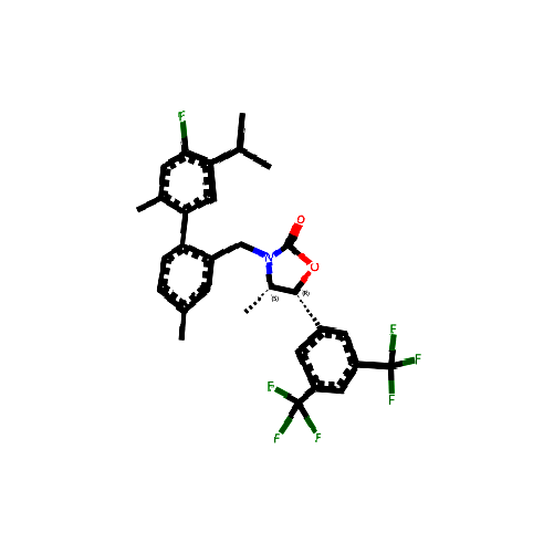 Cc1ccc(-c2cc(C(C)C)c(F)cc2C)c(CN2C(=O)O[C@H](c3cc(C(F)(F)F)cc(C(F)(F)F)c3)[C@@H]2C)c1